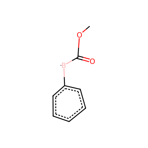 COC(=O)[B]c1ccccc1